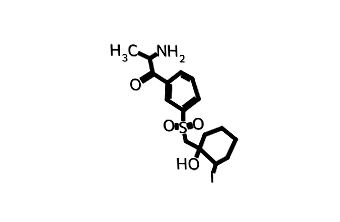 CC(N)C(=O)c1cccc(S(=O)(=O)CC2(O)CCCCC2I)c1